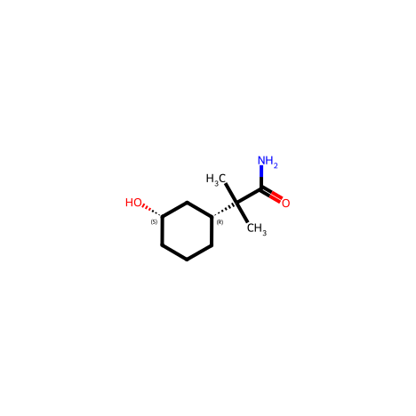 CC(C)(C(N)=O)[C@@H]1CCC[C@H](O)C1